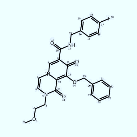 COCCn1ccn2cc(C(=O)NCc3ccc(F)cc3)c(=O)c(OCc3ccccc3)c2c1=O